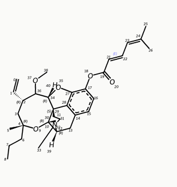 C=C[C@H]1C[C@@](C)(CCC)O[C@@]2(C)[C@H]3Cc4ccc(OC(=O)/C=C/C=C(C)C)c5c4[C@@]2(CCN3C)[C@@H](O5)C1OC